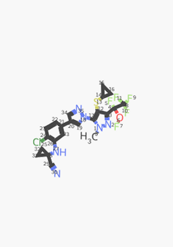 Cn1nc(C(F)(OF)C(F)(F)F)c(SC2CC2)c1-n1cc(-c2ccc(Cl)c(NC3(C#N)CC3)c2)cn1